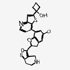 OC1(c2cc3nccc(-c4cc(Cl)cc5c4OC(c4onc6c4CNCC6)C5)c3s2)CCC1